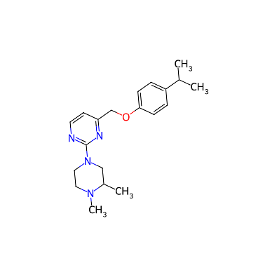 CC(C)c1ccc(OCc2ccnc(N3CCN(C)C(C)C3)n2)cc1